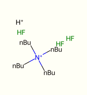 CCCC[N+](CCCC)(CCCC)CCCC.F.F.F.[H+]